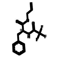 C=CCOC(=O)[C@H](Cc1ccccc1)NC(=O)C(F)(F)F